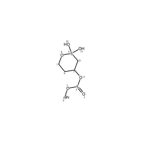 CCCOS(=O)OC1CCOS(O)(O)C1